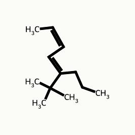 C/C=C\C=C(/CCC)C(C)(C)C